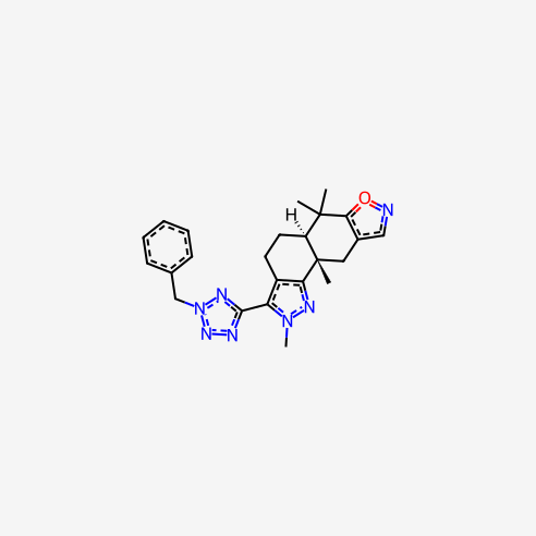 Cn1nc2c(c1-c1nnn(Cc3ccccc3)n1)CC[C@H]1C(C)(C)c3oncc3C[C@]21C